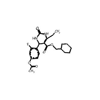 CCC1=C(C(=O)OCC2CCCCC2)C(c2ccc(OC(C)=O)cc2F)NC(=O)N1